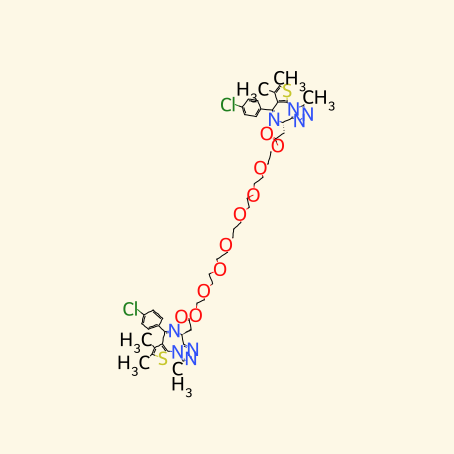 Cc1sc2c(c1C)C(c1ccc(Cl)cc1)=N[C@@H](CC(=O)OCCOCCOCCOCCCOCCOCCOCCOC(=O)C[C@@H]1N=C(c3ccc(Cl)cc3)c3c(sc(C)c3C)-n3c(C)nnc31)c1nnc(C)n1-2